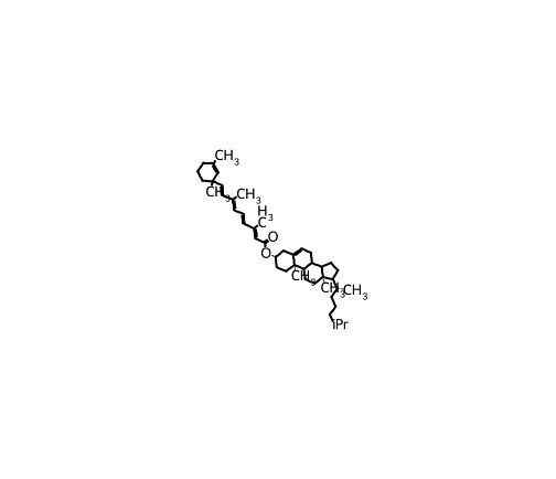 CC1=CC(C)(/C=C/C(C)=C/C=C/C(C)=C/C(=O)O[C@H]2CC[C@@]3(C)C(=CCC4C5CCC([C@H](C)CCCC(C)C)[C@@]5(C)CCC43)C2)CCC1